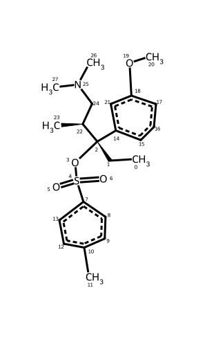 CC[C@](OS(=O)(=O)c1ccc(C)cc1)(c1cccc(OC)c1)[C@@H](C)CN(C)C